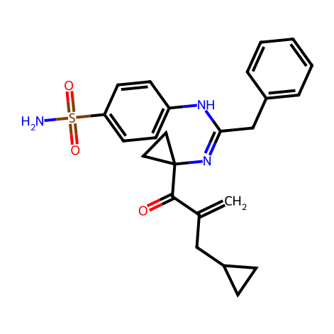 C=C(CC1CC1)C(=O)C1(/N=C(/Cc2ccccc2)Nc2ccc(S(N)(=O)=O)cc2)CC1